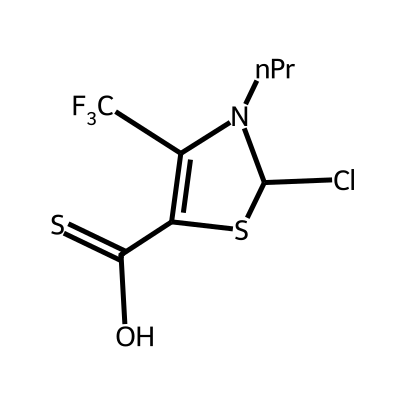 CCCN1C(C(F)(F)F)=C(C(O)=S)SC1Cl